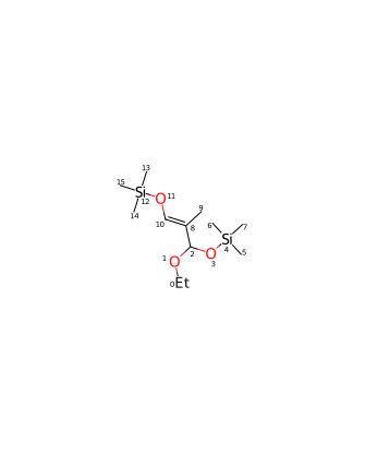 CCOC(O[Si](C)(C)C)C(C)=CO[Si](C)(C)C